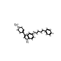 CCN1CC=C(c2c[nH]c3ccc(SCCCCc4ccccc4)cc23)CC1